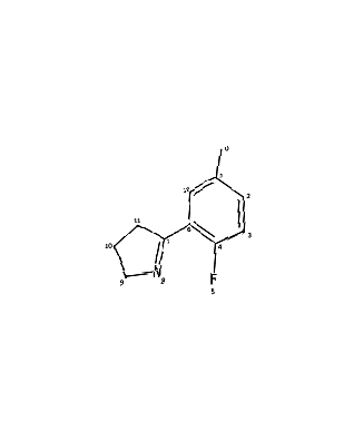 Cc1ccc(F)c(C2=NCCC2)c1